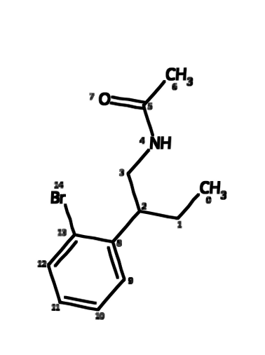 CCC(CNC(C)=O)c1ccccc1Br